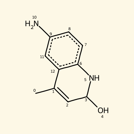 CC1=CC(O)Nc2ccc(N)cc21